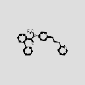 O=C(c1ccccc1-c1ccccc1)N(c1ccc(CCCc2ccccn2)cc1)C(F)(F)F